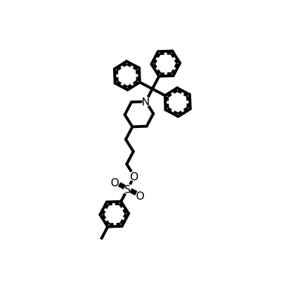 Cc1ccc(S(=O)(=O)OCCCC2CCN(C(c3ccccc3)(c3ccccc3)c3ccccc3)CC2)cc1